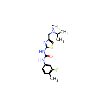 Cc1ccc(NC(=O)Nc2nc(CN(C)C(C)C)cs2)cc1F